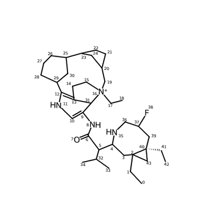 CCC12CC(C(C(=O)NC3=CNC4=C5CC[N+](CC)(CC6CCC(C6)C6CCCC4C6)C35)C(C)C)NCC(F)C[C@@]1(CC)C2